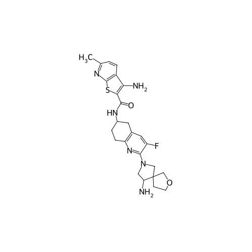 Cc1ccc2c(N)c(C(=O)NC3CCc4nc(N5CC(N)C6(CCOC6)C5)c(F)cc4C3)sc2n1